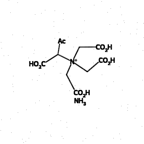 CC(=O)C(C(=O)O)[N+](CC(=O)O)(CC(=O)O)CC(=O)O.N